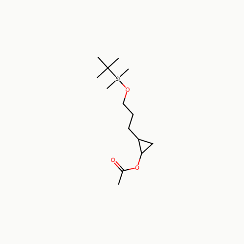 CC(=O)OC1CC1CCCO[Si](C)(C)C(C)(C)C